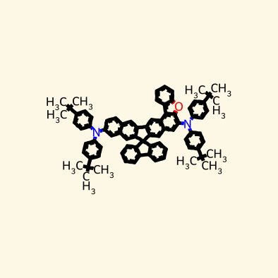 CC(C)(C)c1ccc(N(c2ccc(C(C)(C)C)cc2)c2ccc3cc4c(cc3c2)C2(c3ccccc3-c3ccccc32)c2cc3cc(N(c5ccc(C(C)(C)C)cc5)c5ccc(C(C)(C)C)cc5)c5oc6ccccc6c5c3cc2-4)cc1